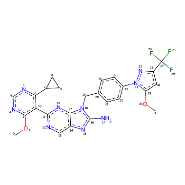 COc1ncnc(C2CC2)c1-c1ncc2nc(N)n(Cc3ccc(-n4nc(C(F)(F)F)cc4OC)cc3)c2n1